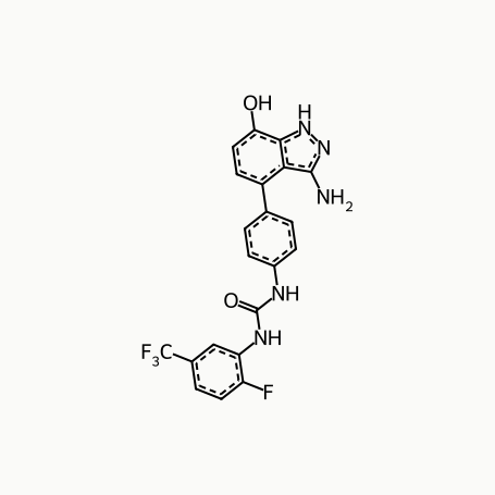 Nc1n[nH]c2c(O)ccc(-c3ccc(NC(=O)Nc4cc(C(F)(F)F)ccc4F)cc3)c12